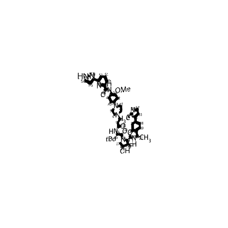 COc1cc(N2CCN(CCC(=O)N[C@H](C(=O)N3C[C@H](O)[C@H](F)[C@@H]3C(=O)N[C@@H](C)c3ccc(-c4ccnn4C)cc3)C(C)(C)C)CC2)ccc1NC(=O)c1cccc(-c2cc[nH]n2)n1